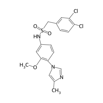 COc1cc(NS(=O)(=O)Cc2ccc(Cl)c(Cl)c2)ccc1-n1cnc(C)c1